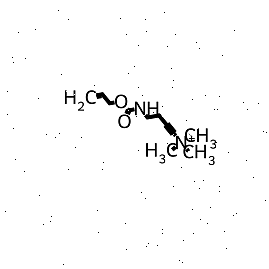 C=CCOC(=O)NCCC#C[N+](C)(C)C